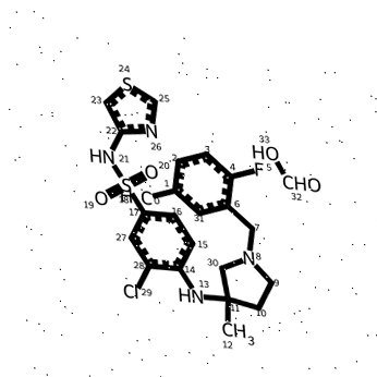 Cc1ccc(F)c(CN2CCC(C)(Nc3ccc(S(=O)(=O)Nc4cscn4)cc3Cl)C2)c1.O=CO